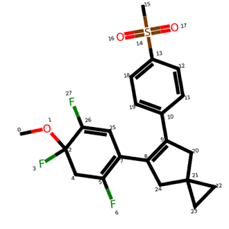 COC1(F)CC(F)=C(C2=C(c3ccc(S(C)(=O)=O)cc3)CC3(CC3)C2)C=C1F